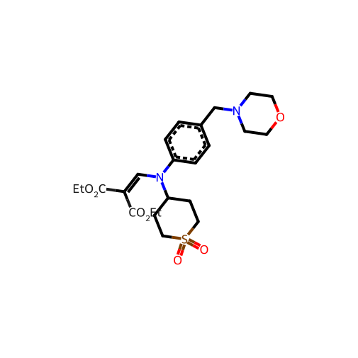 CCOC(=O)C(=CN(c1ccc(CN2CCOCC2)cc1)C1CCS(=O)(=O)CC1)C(=O)OCC